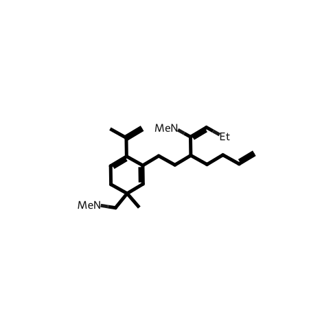 C=CCCC(CCC1=CC(C)(CNC)CC=C1C(=C)C)/C(=C\CC)NC